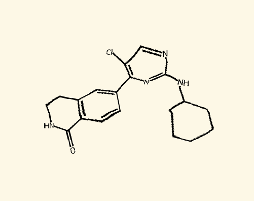 O=C1NCCc2cc(-c3nc(NC4CCCCC4)ncc3Cl)ccc21